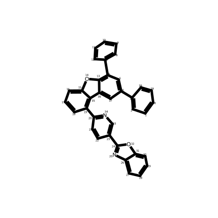 c1ccc(-c2cc(-c3ccccc3)c3oc4cccc(-c5ccc(-c6nc7ccccc7o6)cn5)c4c3c2)cc1